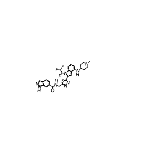 CN1CCC(Nc2cccc3c2cc(-c2nnc(CNC(=O)c4ccc5cn[nH]c5c4)s2)n3C(F)C(F)F)CC1